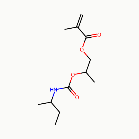 C=C(C)C(=O)OCC(C)OC(=O)NC(C)CC